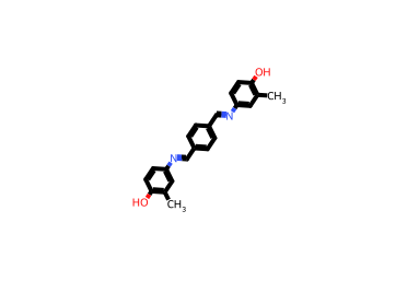 Cc1cc(N=Cc2ccc(C=Nc3ccc(O)c(C)c3)cc2)ccc1O